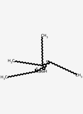 CCCCCCCCCCCCCCCCCCCCc1csc(C2=CC(CCCCCCCCCCCCCCCCCCCC)(CCCCCCCCCCCCCCCCCCCC)C3=C4CC(c5cc(CCCCCCCCCCCCCCCCCCCC)cs5)=[SiH][SiH]=C4CC3=C2)c1